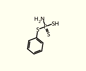 NP(=S)(S)Sc1ccccc1